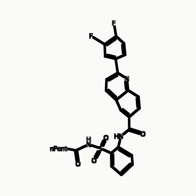 CCCCCC(=O)NS(=O)(=O)c1ccccc1NC(=O)c1ccc2nc(-c3ccc(F)c(F)c3)ccc2c1